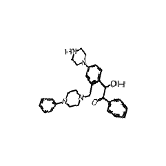 O=C(c1ccccc1)C(O)c1ccc(N2CCNCC2)cc1CN1CCN(c2ccccc2)CC1